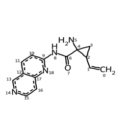 C=CC1CC1(N)C(=O)Nc1ccc2cnccc2n1